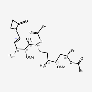 CCC(=O)O[C@@H](C[C@H](OC)[C@@H](N)CC[C@@H](OC(=O)C(C)C)[C@H](C)[C@H](OC)[C@H](C)/C=C/N1CCC1=O)C(C)C